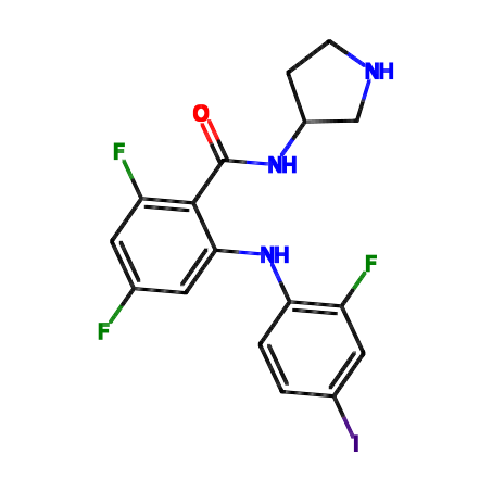 O=C(NC1CCNC1)c1c(F)cc(F)cc1Nc1ccc(I)cc1F